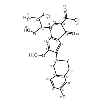 COc1nc2c(cc1N1CCc3cc(F)ccc3C1)c(=O)c(C(=O)O)cn2C(CO)C(C)C